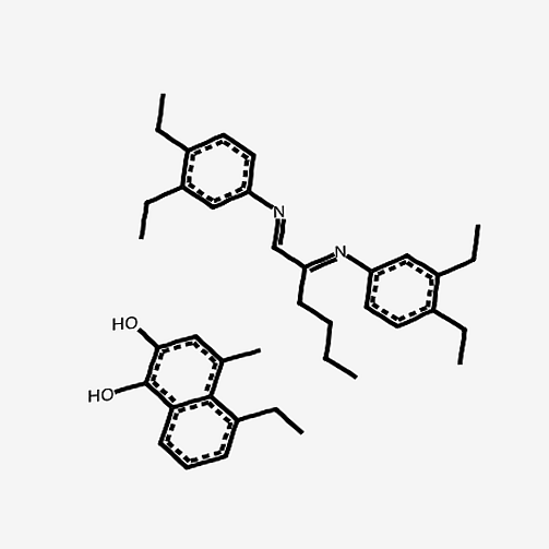 CCCCC(C=Nc1ccc(CC)c(CC)c1)=Nc1ccc(CC)c(CC)c1.CCc1cccc2c(O)c(O)cc(C)c12